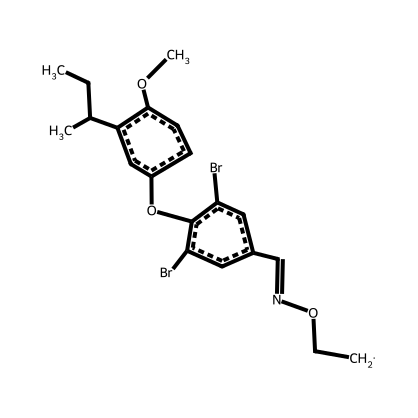 [CH2]CON=Cc1cc(Br)c(Oc2ccc(OC)c(C(C)CC)c2)c(Br)c1